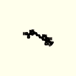 Cc1c(C2CC2)[nH]c2nnc(CCCCn3cc(C(=O)O)nn3)cc12